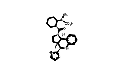 CC(C)(C)N(C(=O)O)[C@@H]1CCCC[C@@H]1C(=O)N1CC[C@H]2[C@H](c3ncc[nH]3)Nc3ccccc3[C@@H]21